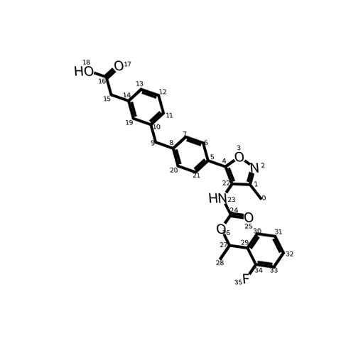 Cc1noc(-c2ccc(Cc3cccc(CC(=O)O)c3)cc2)c1NC(=O)OC(C)c1ccccc1F